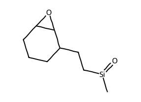 C[Si](=O)CCC1CCCC2OC12